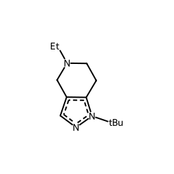 CCN1CCc2c(cnn2C(C)(C)C)C1